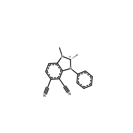 C[C@H]1N(C)c2ccc(C#N)c(C#N)c2N1c1ccccc1